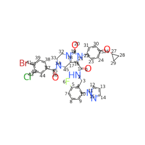 O=C(NCc1c(F)cccc1-n1cccn1)c1c2n(c(=O)n1-c1ccc(OC3CC3)cc1)CCN(C(=O)c1ccc(Br)c(Cl)c1)C2